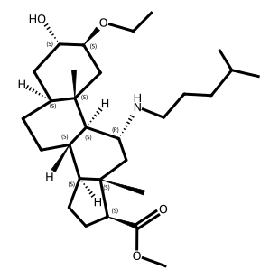 CCO[C@H]1C[C@@]2(C)[C@@H](CC[C@@H]3[C@@H]2[C@H](NCCCC(C)C)C[C@]2(C)[C@@H](C(=O)OC)CC[C@@H]32)C[C@@H]1O